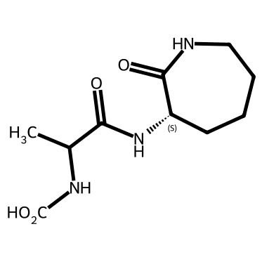 CC(NC(=O)O)C(=O)N[C@H]1CCCCNC1=O